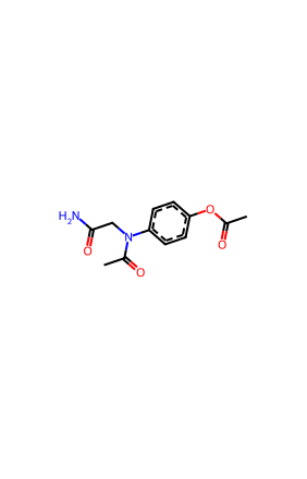 CC(=O)Oc1ccc(N(CC(N)=O)C(C)=O)cc1